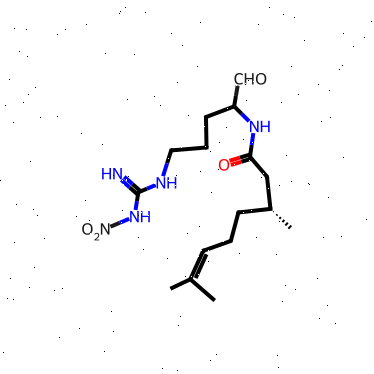 CC(C)=CCC[C@@H](C)CC(=O)NC(C=O)CCCNC(=N)N[N+](=O)[O-]